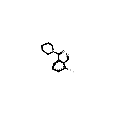 Cc1cccc(C(=O)N2CCCCC2)c1C=O